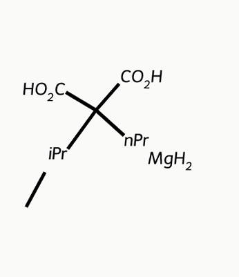 CC.CCCC(C(=O)O)(C(=O)O)C(C)C.[MgH2]